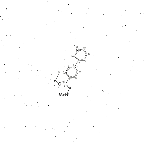 CNC[C@H]1OCCc2cc(-c3cccnc3)ccc21